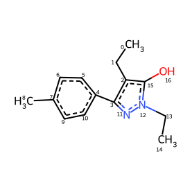 CCc1c(-c2ccc(C)cc2)nn(CC)c1O